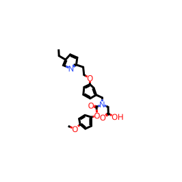 CCc1ccc(CCOc2cccc(CN(CC(=O)O)C(=O)Oc3ccc(OC)cc3)c2)nc1